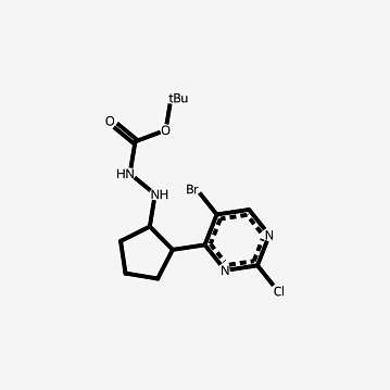 CC(C)(C)OC(=O)NNC1CCCC1c1nc(Cl)ncc1Br